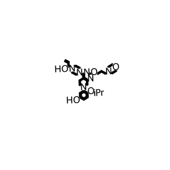 C=CC(O)N1CCN(c2nc(OCCCN3CCOCC3)nc3c2CCN(c2cc(O)ccc2OC(C)C)C3)CC1